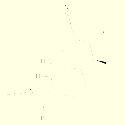 C[C@@H]1C(=O)C(C#N)=C[C@]2(C)c3nn(C)c(Br)c3CCC12